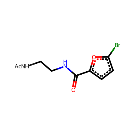 CC(=O)NCCNC(=O)c1ccc(Br)o1